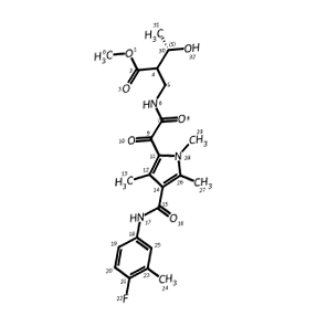 COC(=O)C(CNC(=O)C(=O)c1c(C)c(C(=O)Nc2ccc(F)c(C)c2)c(C)n1C)[C@H](C)O